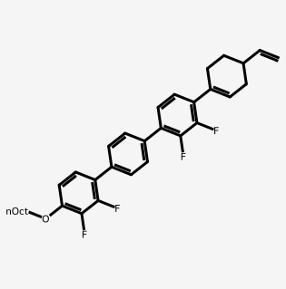 C=CC1CC=C(c2ccc(-c3ccc(-c4ccc(OCCCCCCCC)c(F)c4F)cc3)c(F)c2F)CC1